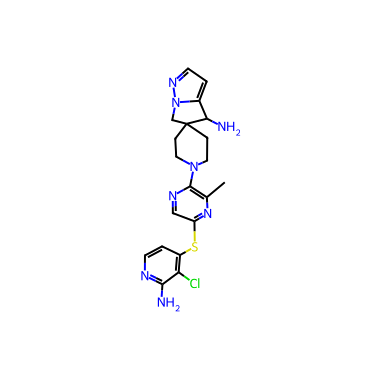 Cc1nc(Sc2ccnc(N)c2Cl)cnc1N1CCC2(CC1)Cn1nccc1C2N